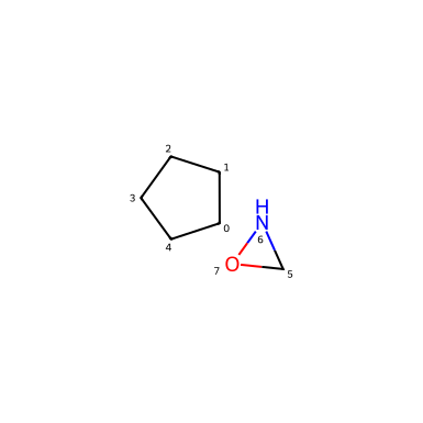 C1CCCC1.C1NO1